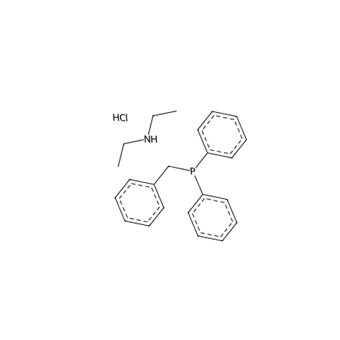 CCNCC.Cl.c1ccc(CP(c2ccccc2)c2ccccc2)cc1